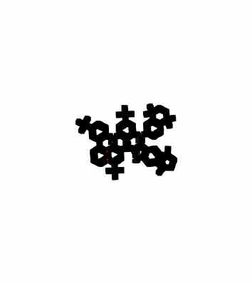 CC(C)(C)c1ccc2c(c1)B1c3sc4cc5c(cc4c3N(c3ccc4c(c3)C(C)(C)CCC4(C)C)c3cc(C(C)(C)C)cc(c31)N2c1ccc(C(C)(C)C)cc1-c1ccccc1)C1(C)CCC5(C)C1